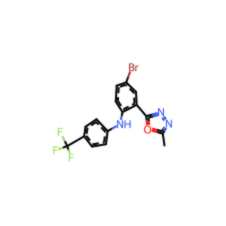 Cc1nnc(-c2cc(Br)ccc2Nc2ccc(C(F)(F)F)cc2)o1